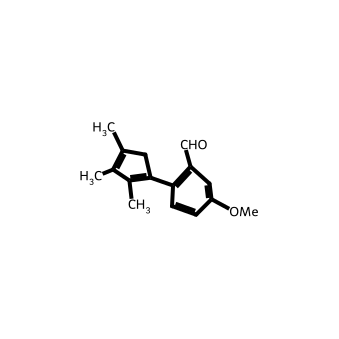 COc1ccc(C2=C(C)C(C)=C(C)C2)c(C=O)c1